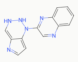 C1=NC2=CNNN(c3cnc4ccccc4n3)C2=C1